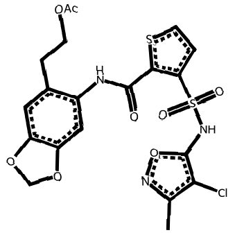 CC(=O)OCCc1cc2c(cc1NC(=O)c1sccc1S(=O)(=O)Nc1onc(C)c1Cl)OCO2